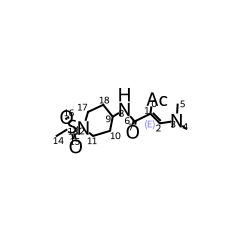 CC(=O)/C(=C\N(C)C)C(=O)NC1CCN(S(C)(=O)=O)CC1